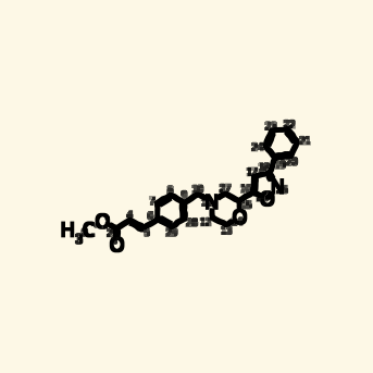 COC(=O)/C=C/c1ccc(CN2CCOC(c3cc(-c4ccccc4)no3)C2)cc1